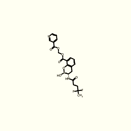 CC(F)(F)CCC(=O)N[C@H]1Cc2cccc(C(=O)OCOC(=O)c3cccnc3)c2OB1O